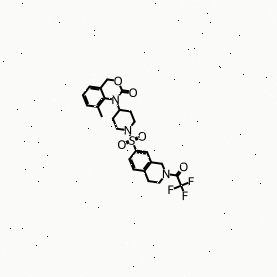 Cc1cccc2c1N(C1CCN(S(=O)(=O)c3ccc4c(c3)CN(C(=O)C(F)(F)F)CC4)CC1)C(=O)OC2